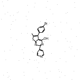 Cc1sc2nc(-c3ccncc3)nc(O)c2c1-c1ccc(Br)cc1